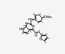 COC1C=CC(Nc2nc(NCc3ccco3)c3nc[nH]c3n2)=CC1